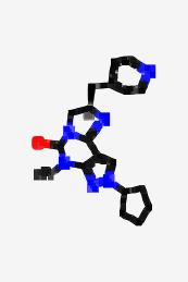 CCCN1C(=O)N2C[C@@H](Cc3ccncc3)N=C2c2cn(C3CCCC3)nc21